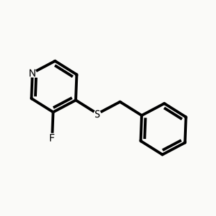 Fc1cnccc1SCc1ccccc1